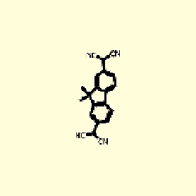 CC1(C)c2cc(C(C#N)C#N)ccc2-c2ccc(C(C#N)C#N)cc21